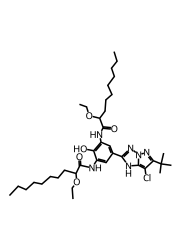 CCCCCCCCC(OCC)C(=O)Nc1cc(-c2nn3nc(C(C)(C)C)c(Cl)c3[nH]2)cc(NC(=O)C(CCCCCCCC)OCC)c1O